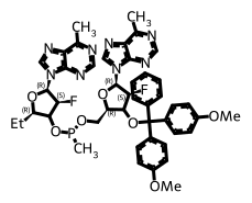 CC[C@H]1O[C@@H](n2cnc3c(C)ncnc32)[C@@H](F)C1OP(C)OC[C@H]1O[C@@H](n2cnc3c(C)ncnc32)[C@@H](F)C1OC(c1ccccc1)(c1ccc(OC)cc1)c1ccc(OC)cc1